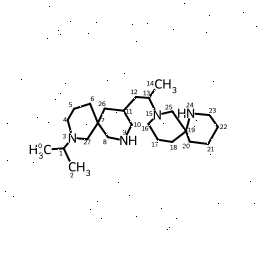 CC(C)N1CCCC2(CNCC(CC(C)N3CCCC4(CCCCN4)C3)C2)C1